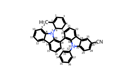 CC1=CC=CC[C@H]1n1c2ccccc2c2cccc(-c3cccc4c5cc(C#N)ccc5n(-c5ccccc5)c34)c21